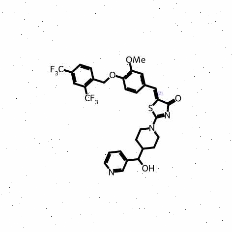 COc1cc(/C=C2\SC(N3CCC(C(O)c4cccnc4)CC3)=NC2=O)ccc1OCc1ccc(C(F)(F)F)cc1C(F)(F)F